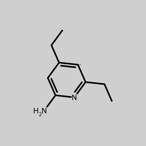 CCc1[c]c(CC)nc(N)c1